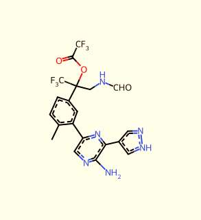 Cc1ccc(C(CNC=O)(OC(=O)C(F)(F)F)C(F)(F)F)cc1-c1cnc(N)c(-c2cn[nH]c2)n1